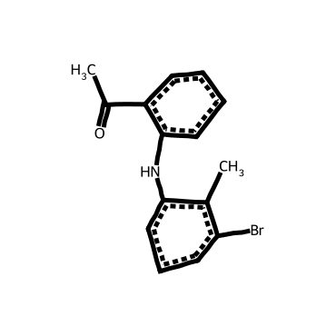 CC(=O)c1ccccc1Nc1cccc(Br)c1C